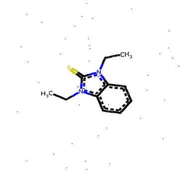 CCn1c(=S)n(CC)c2ccccc21